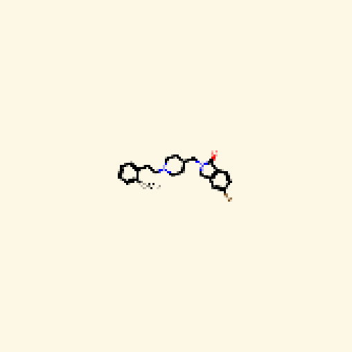 COc1ccccc1CCN1CCC(CN2Cc3cc(Br)ccc3C2=O)CC1